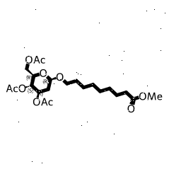 COC(=O)CCCCCCCCO[C@H]1C[C@@H](OC(C)=O)[C@H](OC(C)=O)[C@@H](COC(C)=O)O1